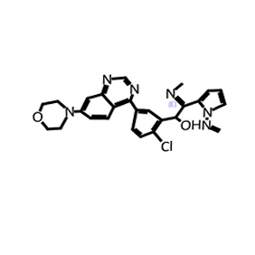 C=Nn1cccc1/C(=N\C)C(O)c1cc(-c2ncnc3cc(N4CCOCC4)ccc23)ccc1Cl